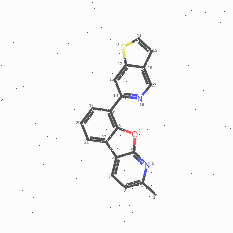 Cc1ccc2c(n1)oc1c(-c3cc4sccc4cn3)cccc12